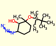 CC1(O[Si](C)(C)C(C)(C)C)CCCC(N=[N+]=[N-])[C@H]1O